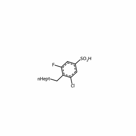 CCCCCCCCc1c(F)cc(S(=O)(=O)O)cc1Cl